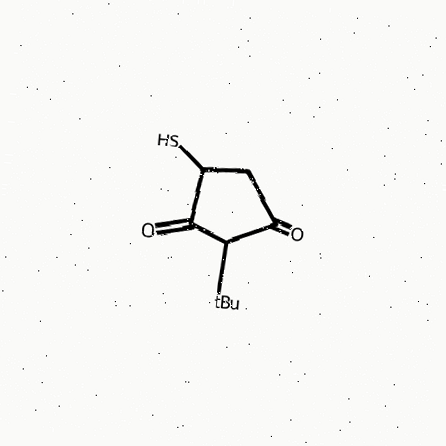 CC(C)(C)C1C(=O)CC(S)C1=O